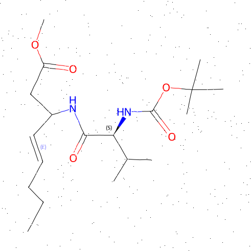 CCC/C=C/C(CC(=O)OC)NC(=O)[C@@H](NC(=O)OC(C)(C)C)C(C)C